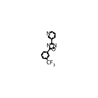 FC(F)(F)c1cccc(-c2nc(-c3cccnc3)no2)c1